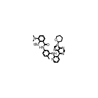 Cc1ccc(NC(=O)c2cccc(N(C)C)c2C(C)(C)C)cc1Nc1ncccc1-c1ncnc2c1ncn2C1CCCCO1